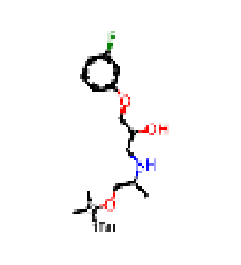 CC(CO[Si](C)(C)C(C)(C)C)NCC(O)COc1cccc(F)c1